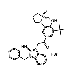 Br.CC(C)(C)c1cc(C(=O)Cn2c(=N)n(Cc3ccccc3)c3ccccc32)cc(N2CCCS2(=O)=O)c1O